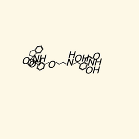 O=C(NC1(C(=O)O)CCc2ccccc21)c1cccc(COCCCCNCC(O)c2ccc(O)c3[nH]c(=O)ccc23)c1